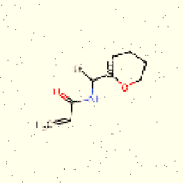 C=CC(=O)NC(CC)[SiH]1CCCCO1